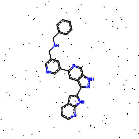 c1ccc(CNCc2cncc(-c3cc4c(-c5cc6cccnc6[nH]5)n[nH]c4cn3)c2)cc1